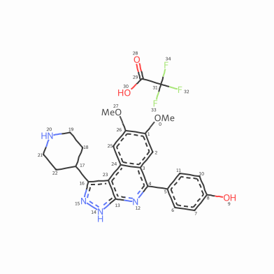 COc1cc2c(-c3ccc(O)cc3)nc3[nH]nc(C4CCNCC4)c3c2cc1OC.O=C(O)C(F)(F)F